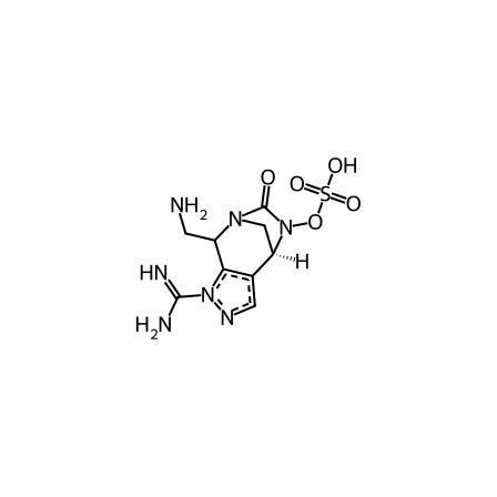 N=C(N)n1ncc2c1C(CN)N1C[C@H]2N(OS(=O)(=O)O)C1=O